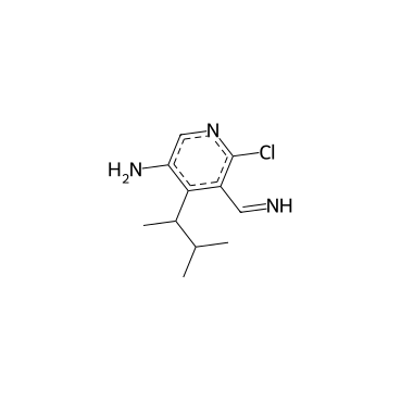 CC(C)C(C)c1c(N)cnc(Cl)c1C=N